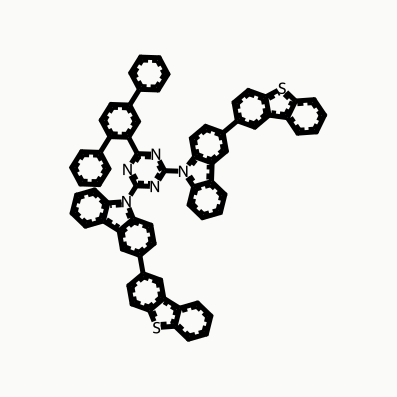 c1ccc(-c2ccc(-c3ccccc3)c(-c3nc(-n4c5ccccc5c5cc(-c6ccc7sc8ccccc8c7c6)ccc54)nc(-n4c5ccccc5c5cc(-c6ccc7sc8ccccc8c7c6)ccc54)n3)c2)cc1